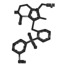 COc1cccc(S(=O)(=O)c2ccccc2Cc2c3c(n(CC(=O)O)c2C)CCNC3=O)c1